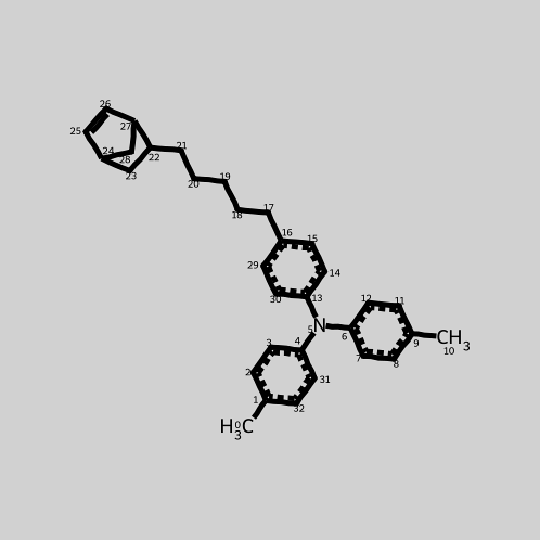 Cc1ccc(N(c2ccc(C)cc2)c2ccc(CCCCCC3CC4C=CC3C4)cc2)cc1